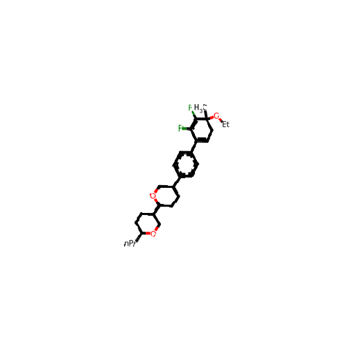 CCCC1CCC(C2CCC(c3ccc(C4=CCC(C)(OCC)C(F)=C4F)cc3)CO2)CO1